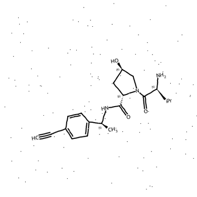 C#Cc1ccc([C@H](C)NC(=O)[C@@H]2C[C@@H](O)CN2C(=O)[C@@H](N)C(C)C)cc1